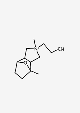 CC12CCC(O1)C1C[N+](C)(CCC#N)CC12